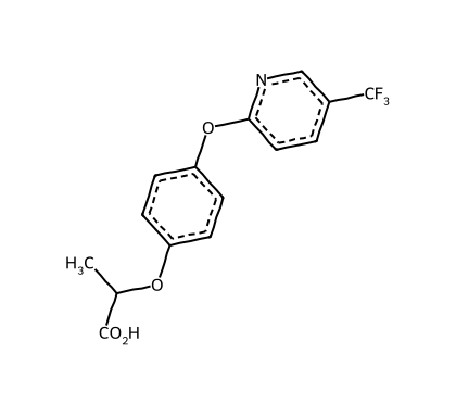 CC(Oc1ccc(Oc2ccc(C(F)(F)F)cn2)cc1)C(=O)O